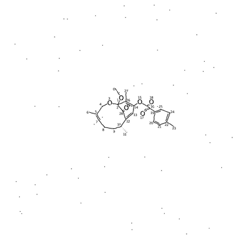 COC12OC/C(C)=C\CC[C@@H](C)C(=CC(OS(=O)(=O)c3ccc(C)cc3)=C1C)C2=O